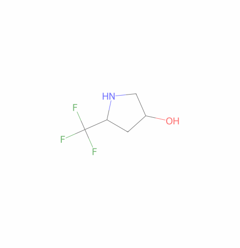 OC1CNC(C(F)(F)F)C1